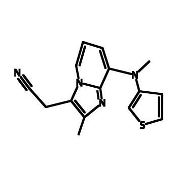 Cc1nc2c(N(C)c3ccsc3)cccn2c1CC#N